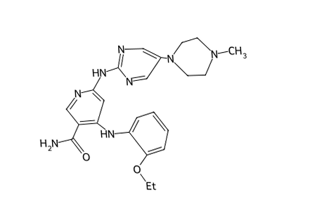 CCOc1ccccc1Nc1cc(Nc2ncc(N3CCN(C)CC3)cn2)ncc1C(N)=O